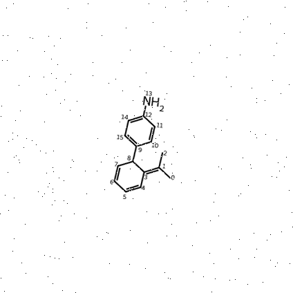 CC(C)=C1C=CC=CC1c1ccc(N)cc1